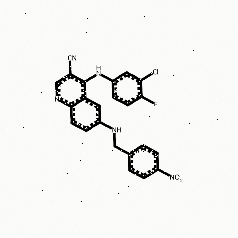 N#Cc1cnc2ccc(NCc3ccc([N+](=O)[O-])cc3)cc2c1Nc1ccc(F)c(Cl)c1